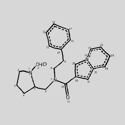 O=CN1CCCC1CN(CCc1ccccc1)C(=O)c1cc2ccccn2c1